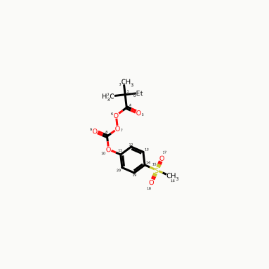 CCC(C)(C)C(=O)OOC(=O)Oc1ccc(S(C)(=O)=O)cc1